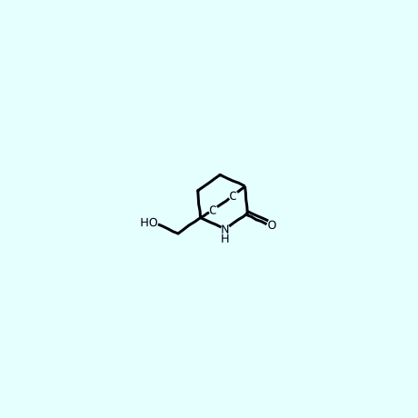 O=C1NC2(CO)CCC1CC2